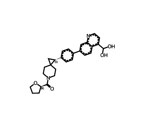 O=C([C@H]1CCCO1)N1CCC2(CC1)C[C@@H]2c1ccc(-c2ccc3c(C(O)O)ccnc3c2)cc1